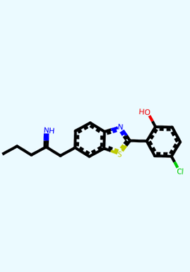 CCCC(=N)Cc1ccc2nc(-c3cc(Cl)ccc3O)sc2c1